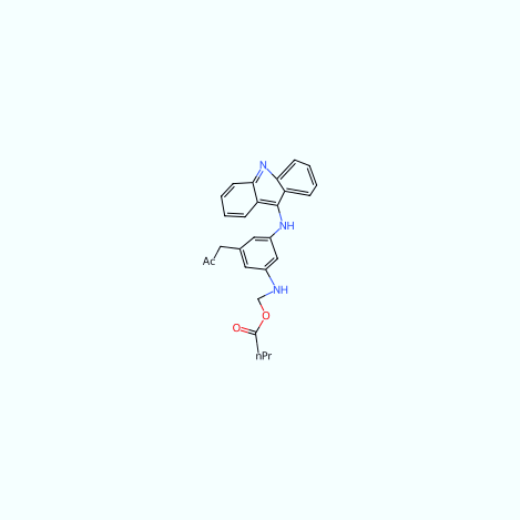 CCCC(=O)OCNc1cc(CC(C)=O)cc(Nc2c3ccccc3nc3ccccc23)c1